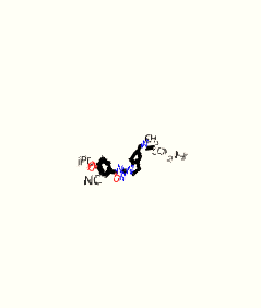 CC(C)Oc1ccc(-c2nc(N3CCc4cc(CN(C)CCC(=O)O)ccc43)no2)cc1C#N